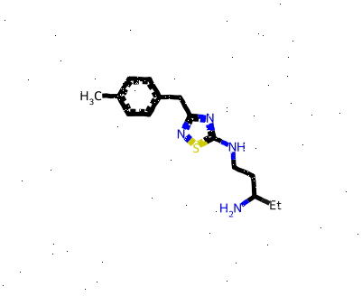 CCC(N)CCNc1nc(Cc2ccc(C)cc2)ns1